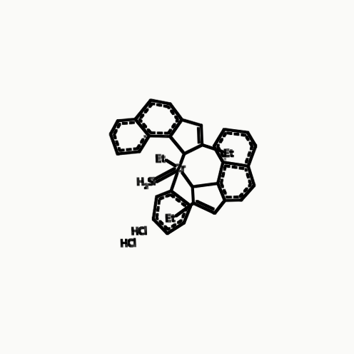 CCC1=Cc2ccc3ccccc3c2[CH]1[Zr](=[SiH2])([CH2]C)([c]1ccccc1)[CH]1C(CC)=Cc2ccc3ccccc3c21.Cl.Cl